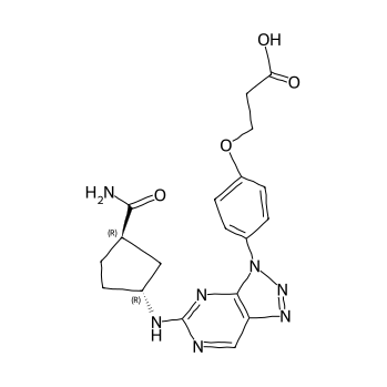 NC(=O)[C@@H]1CC[C@@H](Nc2ncc3nnn(-c4ccc(OCCC(=O)O)cc4)c3n2)C1